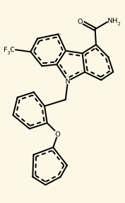 NC(=O)c1cccc2c1c1[c]cc(C(F)(F)F)cc1n2Cc1ccccc1Oc1ccccc1